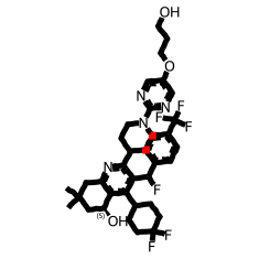 CC1(C)Cc2nc(C3CCN(c4ncc(OCCCO)cn4)CC3)c(C(F)c3ccc(C(F)(F)F)cc3)c(C3CCC(F)(F)CC3)c2[C@@H](O)C1